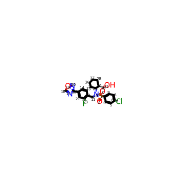 O=S(=O)(c1ccc(Cl)cc1)N(Cc1ccc(-c2ncon2)cc1F)[C@H]1CCCC[C@@H]1CO